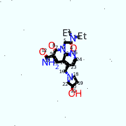 CCN(CC)C(=O)Cn1c(=O)c(C(N)=O)cc2c(CN3CCC(O)C3)ccnc21